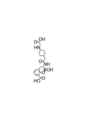 O=C(O)CNC1CCC(CC(=O)NC2Cc3cccc(C(=O)O)c3OB2O)CC1